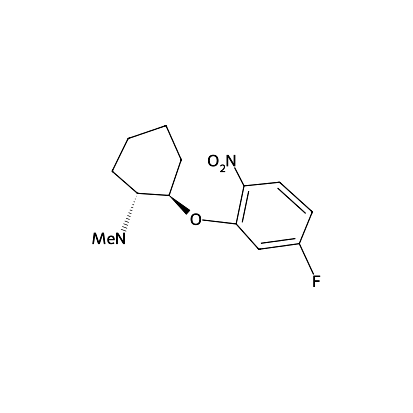 CN[C@@H]1CCCC[C@H]1Oc1cc(F)ccc1[N+](=O)[O-]